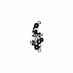 COc1ccc(Cn2cc(-c3cnc([C@@H]4CCC5CC(c6c(-n7cnnn7)ccc(Cl)c6F)=CC(=O)N54)[nH]3)c(OC)n2)cc1